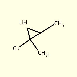 CC1C[C]1(C)[Cu].[LiH]